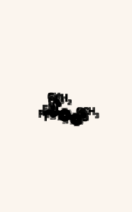 C=C(Cn1nc(C(F)(F)F)cc1-c1ccc(-c2cccc(S(C)(=O)=O)c2)cc1)OC